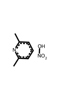 Cc1cccc(C)n1.O=[N+]([O-])O